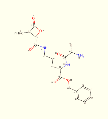 CCCCCCC1C(=O)O[C@@H]1C(=O)NCCC[C@H](NC(=O)[C@H](C)N)C(=O)OCc1ccccc1